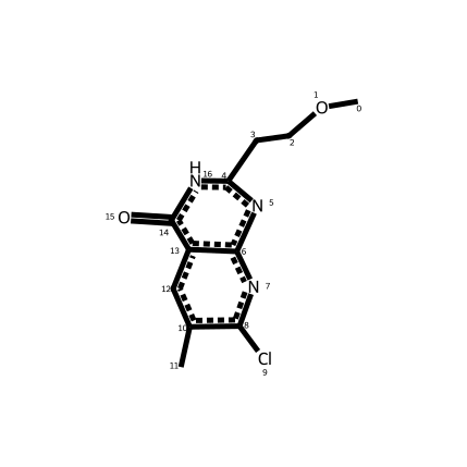 COCCc1nc2nc(Cl)c(C)cc2c(=O)[nH]1